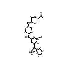 CC(=O)N1CCC(NC2CCC(Nc3cc(-c4c[nH]c5ncccc45)cc(Cl)n3)CC2)CC1